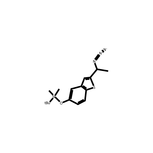 CC(N=[N+]=[N-])c1cc2cc(O[Si](C)(C)C(C)(C)C)ccc2s1